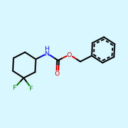 O=C(NC1CCCC(F)(F)C1)OCc1ccccc1